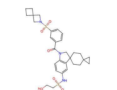 O=C(c1cccc(S(=O)(=O)N2CC3(CCC3)C2)c1)N1CC2(CCC3(CC3)CC2)c2cc(NS(=O)(=O)CCO)ccc21